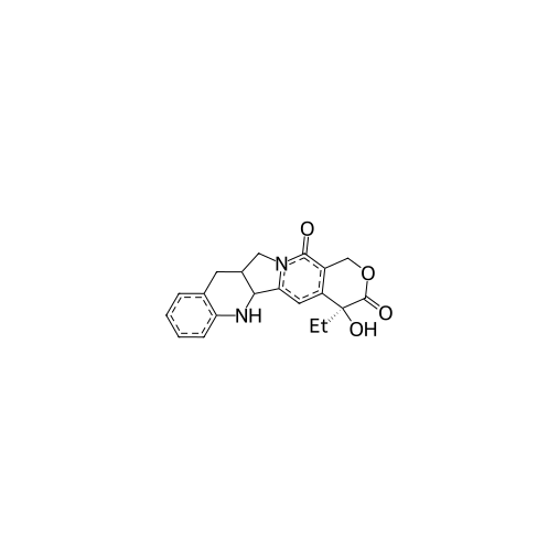 CC[C@@]1(O)C(=O)OCc2c1cc1n(c2=O)CC2Cc3ccccc3NC12